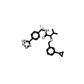 CC(C)C(OCc1cccc(C2CC2)c1)C(=O)N[C@@H](C)c1ccc(-c2nnn[nH]2)cc1